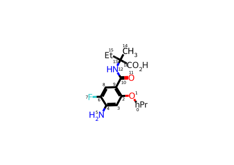 CCCOc1cc(N)c(F)cc1C(=O)NC(C)(CC)C(=O)O